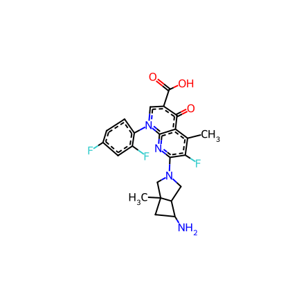 Cc1c(F)c(N2CC3C(N)CC3(C)C2)nc2c1c(=O)c(C(=O)O)cn2-c1ccc(F)cc1F